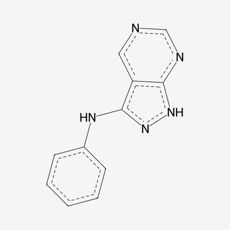 c1ccc(Nc2n[nH]c3ncncc23)cc1